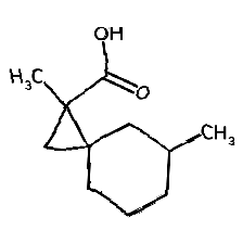 CC1CCCC2(C1)CC2(C)C(=O)O